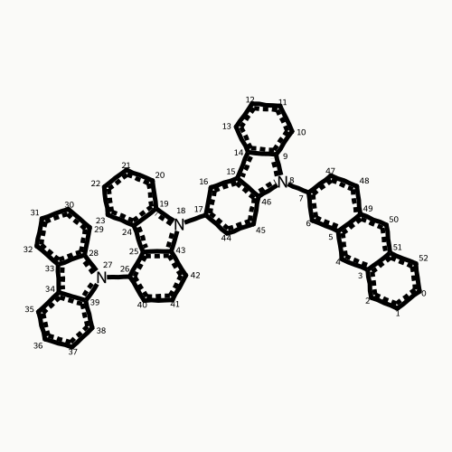 c1ccc2cc3cc(-n4c5ccccc5c5cc(-n6c7ccccc7c7c(-n8c9ccccc9c9ccccc98)cccc76)ccc54)ccc3cc2c1